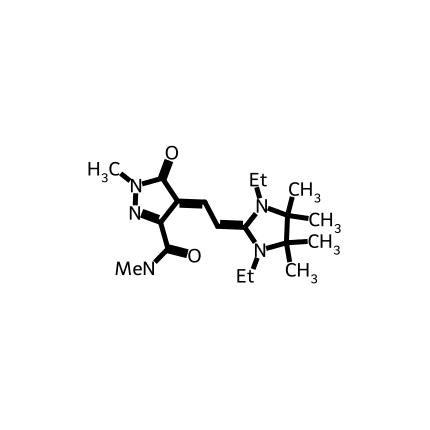 CCN1C(=C/C=C2/C(=O)N(C)N=C2C(=O)NC)N(CC)C(C)(C)C1(C)C